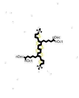 CCCCCCCCCCC(CCCCCCCC)CCCCc1c(-c2cc[c]([Sn]([CH3])([CH3])[CH3])s2)sc2c1sc1c3sc(-c4cc[c]([Sn]([CH3])([CH3])[CH3])s4)c(CCCCC(CCCCCCCC)CCCCCCCCCC)c3sc21